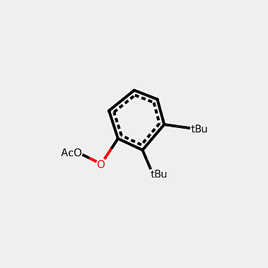 CC(=O)OOc1cccc(C(C)(C)C)c1C(C)(C)C